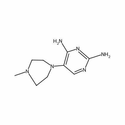 CN1CCN(c2cnc(N)nc2N)CC1